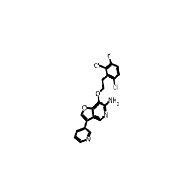 Nc1ncc2c(-c3cccnc3)coc2c1OCCc1c(Cl)ccc(F)c1Cl